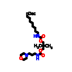 CCCCCCCCCCCCCCCCCCNC(=O)OCC(C)(C)COC(=O)NCCCN1CCOCC1